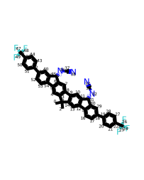 CC1(C)c2cc3c(cc2-c2cc4c(cc21)-c1ccc(-c2ccc(C(F)(F)F)cc2)cc1/C4=N/C#N)/C(=N\C#N)c1cc(-c2ccc(C(F)(F)F)cc2)ccc1-3